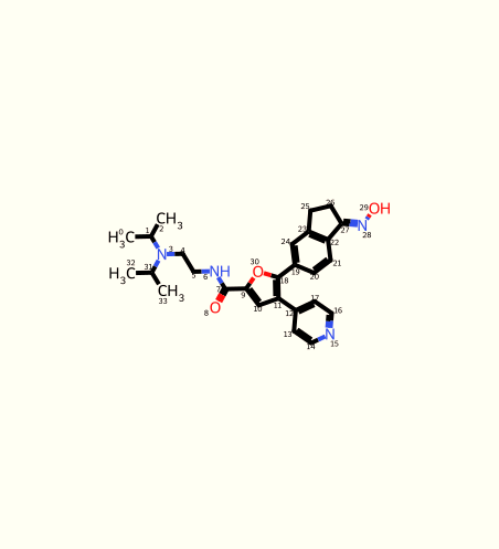 CC(C)N(CCNC(=O)c1cc(-c2ccncc2)c(-c2ccc3c(c2)CC/C3=N\O)o1)C(C)C